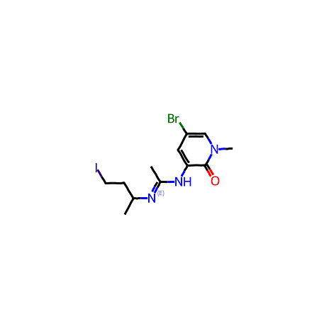 C/C(=N\C(C)CCI)Nc1cc(Br)cn(C)c1=O